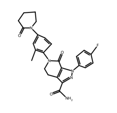 Cc1cc(N2CCCCC2=O)ccc1N1CCc2c(C(N)=O)nn(-c3ccc(F)cc3)c2C1=O